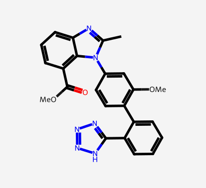 COC(=O)c1cccc2nc(C)n(-c3ccc(-c4ccccc4-c4nnn[nH]4)c(OC)c3)c12